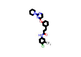 O=C(/C=C/c1cccc(Oc2ccnc(N3CCCCC3)n2)c1)Nc1ccc(Cl)c(C(F)(F)F)c1